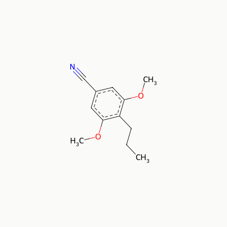 CCCc1c(OC)cc(C#N)cc1OC